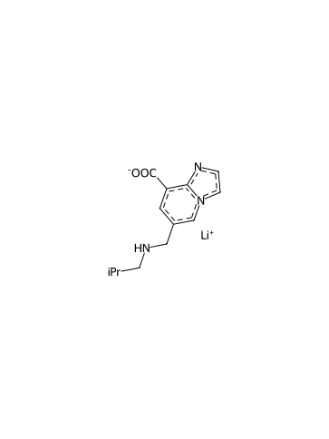 CC(C)CNCc1cc(C(=O)[O-])c2nccn2c1.[Li+]